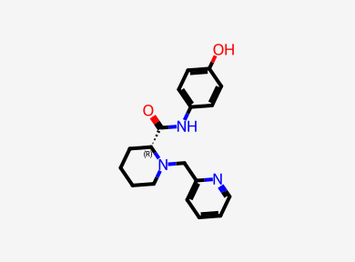 O=C(Nc1ccc(O)cc1)[C@H]1CCCCN1Cc1ccccn1